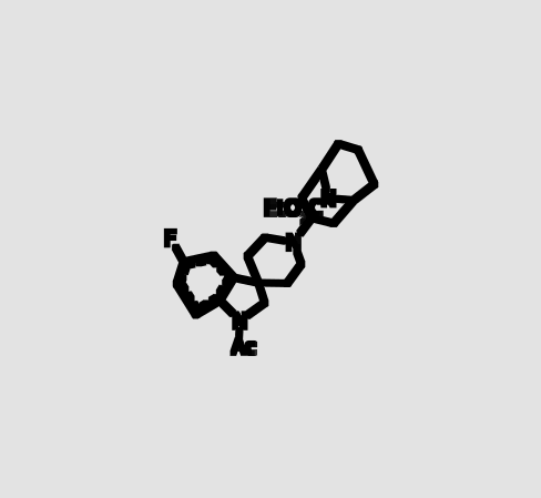 CCOC(=O)N1C2CCCC1CC(N1CCC3(CC1)CN(C(C)=O)c1ccc(F)cc13)C2